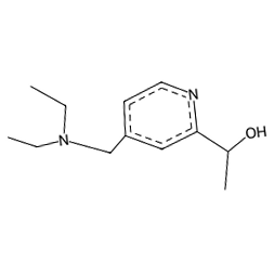 CCN(CC)Cc1ccnc(C(C)O)c1